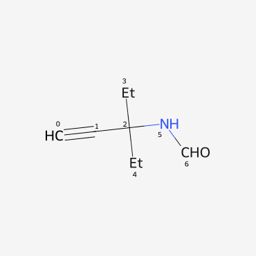 C#CC(CC)(CC)NC=O